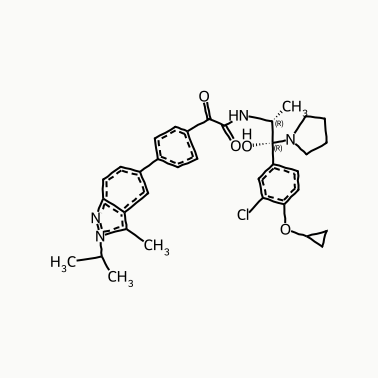 Cc1c2cc(-c3ccc(C(=O)C(=O)N[C@H](C)[C@](O)(c4ccc(OC5CC5)c(Cl)c4)N4CCCC4)cc3)ccc2nn1C(C)C